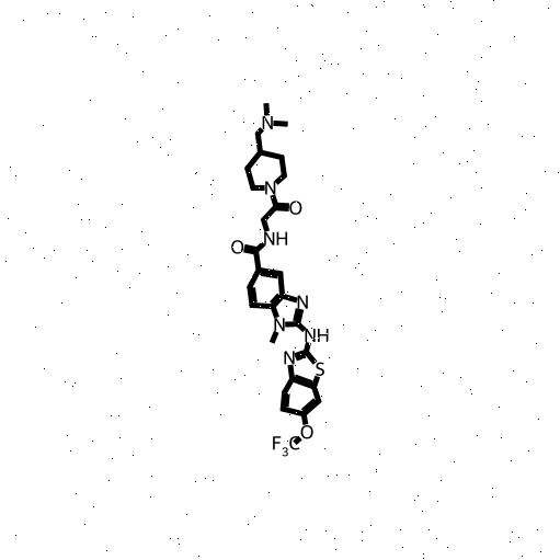 CN(C)CC1CCN(C(=O)CNC(=O)c2ccc3c(c2)nc(Nc2nc4ccc(OC(F)(F)F)cc4s2)n3C)CC1